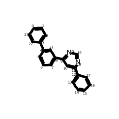 c1ccc(-c2cccc(-c3cc(-c4ccccc4)ncn3)c2)cc1